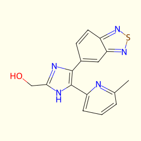 Cc1cccc(-c2[nH]c(CO)nc2-c2ccc3nsnc3c2)n1